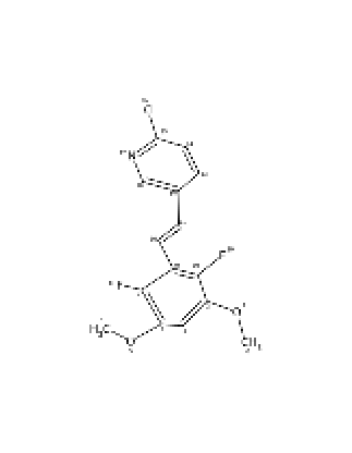 COc1cc(OC)c(F)c(C=Cc2ccc(Cl)nc2)c1F